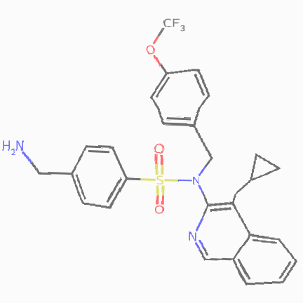 NCc1ccc(S(=O)(=O)N(Cc2ccc(OC(F)(F)F)cc2)c2ncc3ccccc3c2C2CC2)cc1